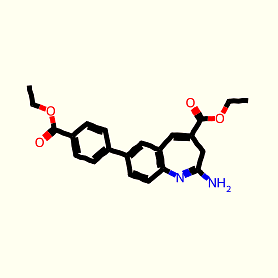 CCOC(=O)C1=Cc2cc(-c3ccc(C(=O)OCC)cc3)ccc2N=C(N)C1